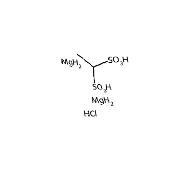 CC(S(=O)(=O)O)S(=O)(=O)O.Cl.[MgH2].[MgH2]